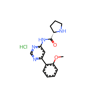 COc1ccccc1-c1cc(NC(=O)[C@@H]2CCCN2)ncn1.Cl